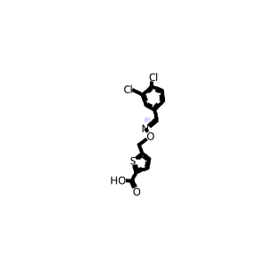 O=C(O)c1ccc(CO/N=C/c2ccc(Cl)c(Cl)c2)s1